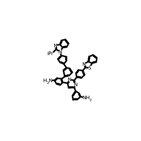 CC(C)c1nc2ccccc2n1-c1ccc(-c2cccc(-c3cc(N)ccc3-c3cc(-c4cccc(N)c4)nc(-c4ccc(-c5nc6ccccc6s5)cc4)n3)c2)cc1